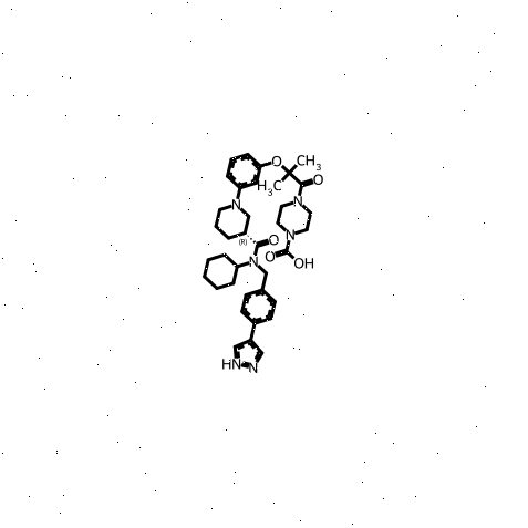 CC(C)(Oc1cccc(N2CCC[C@@H](C(=O)N(Cc3ccc(-c4cn[nH]c4)cc3)C3CCCCC3)C2)c1)C(=O)N1CCN(C(=O)O)CC1